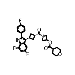 O=C(OC1CN(C(=O)[C@H]2C[C@H](c3c(-c4ccc(F)cc4)[nH]c4c(F)cc(F)cc43)C2)C1)C1CCOCC1